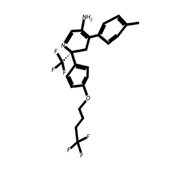 Cc1ccc(C2=C(N)C=N[C@@](c3ccc(OCCCC(F)(F)F)cc3)(C(F)(F)F)C2)cc1